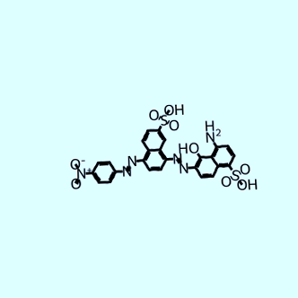 Nc1ccc(S(=O)(=O)O)c2ccc(N=Nc3ccc(N=Nc4ccc([N+](=O)[O-])cc4)c4ccc(S(=O)(=O)O)cc34)c(O)c12